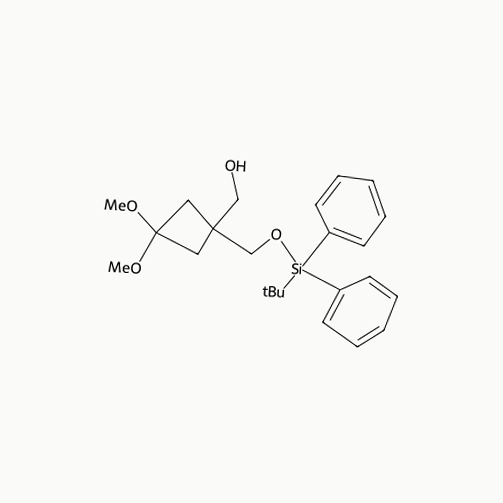 COC1(OC)CC(CO)(CO[Si](c2ccccc2)(c2ccccc2)C(C)(C)C)C1